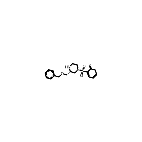 O=S(=O)(C1=CC=CCC1=S)N1CCN[C@@H](COCc2ccccc2)C1